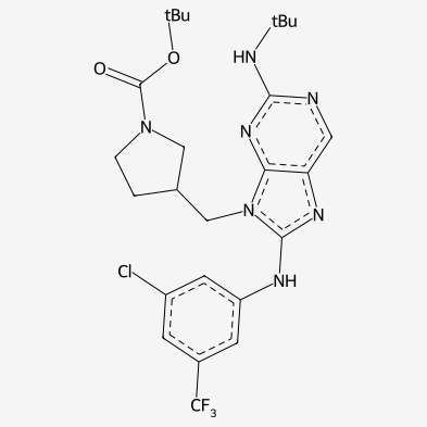 CC(C)(C)Nc1ncc2nc(Nc3cc(Cl)cc(C(F)(F)F)c3)n(CC3CCN(C(=O)OC(C)(C)C)C3)c2n1